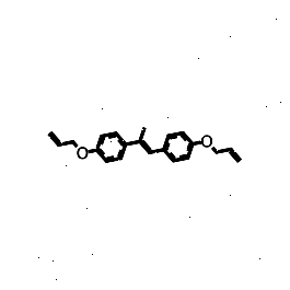 C=CCOc1ccc(/C=C(\C)c2ccc(OCC=C)cc2)cc1